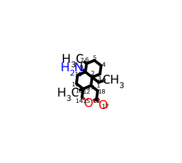 CCC12CCCC(C)C1(N)CCC1(C)COC(=O)CC12